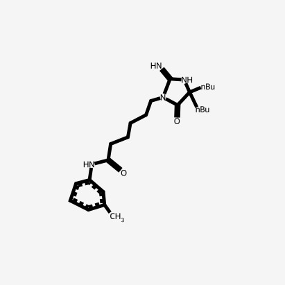 CCCCC1(CCCC)NC(=N)N(CCCCCC(=O)Nc2cccc(C)c2)C1=O